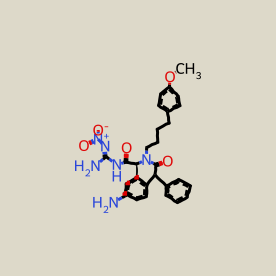 COc1ccc(CCCCN(C(=O)C(c2ccccc2)c2ccccc2)[C@@H](CCCN)C(=O)NC(N)=N[N+](=O)[O-])cc1